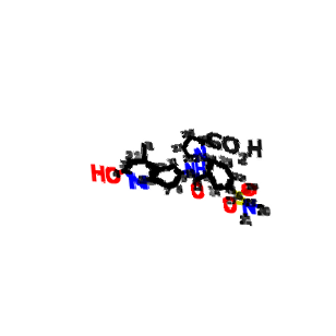 Cc1cc(O)nc2ccc(NC(=O)c3cc(S(=O)(=O)N(C)C)ccc3N3CCC[C@H]3C(=O)O)cc12